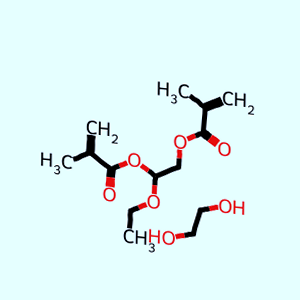 C=C(C)C(=O)OCC(OCC)OC(=O)C(=C)C.OCCO